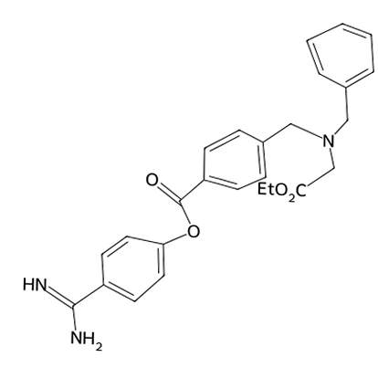 CCOC(=O)CN(Cc1ccccc1)Cc1ccc(C(=O)Oc2ccc(C(=N)N)cc2)cc1